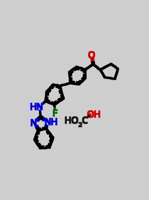 O=C(O)O.O=C(c1ccc(-c2ccc(Nc3nc4ccccc4[nH]3)c(F)c2)cc1)C1CCCC1